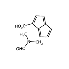 CN(C)C=O.O=C(O)C1=CC=C2C=CC=C21